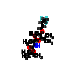 CC(C)[C@H](OC(=O)[C@H](C)NC(=O)OC(C)(C)C)[C@H](C)OCCCC(F)(F)F